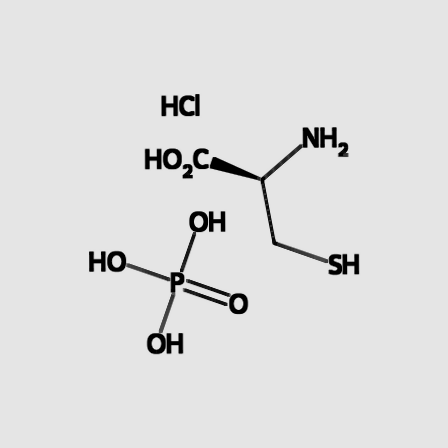 Cl.N[C@@H](CS)C(=O)O.O=P(O)(O)O